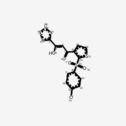 O=C(C=C(O)c1nn[nH]n1)c1ccsc1S(=O)(=O)c1ccc(Cl)cc1